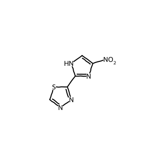 O=[N+]([O-])c1c[nH]c(-c2nncs2)n1